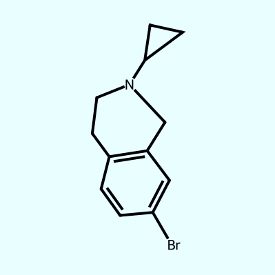 Brc1ccc2c(c1)CN(C1CC1)CC2